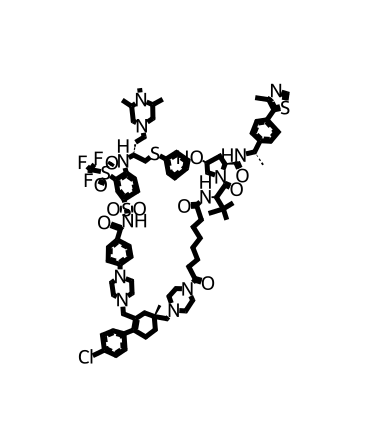 Cc1ncsc1-c1ccc([C@H](C)NC(=O)[C@@H]2C[C@@H](O)CN2C(=O)[C@@H](NC(=O)CCCCCCC(=O)N2CCN(C[C@]3(C)CCC(c4ccc(Cl)cc4)=C(CN4CCN(c5ccc(C(=O)NS(=O)(=O)c6ccc(N[C@H](CCN7CC(C)N(C)C(C)C7)CSc7ccccc7)c(S(=O)(=O)C(F)(F)F)c6)cc5)CC4)C3)CC2)C(C)(C)C)cc1